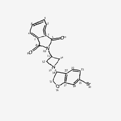 O=C1c2ccccc2C(=O)N1C1CN([C@H]2COc3cc(Br)ccc32)C1